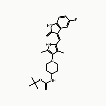 C=C(NC1CCN(c2c(C)[nH]c(/C=c3\c(=C)[nH]c4ccc(F)cc34)c2C)CC1)OC(C)(C)C